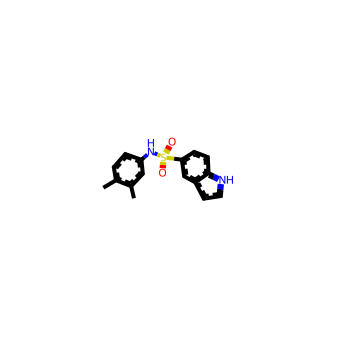 Cc1ccc(NS(=O)(=O)c2ccc3[nH]ccc3c2)cc1C